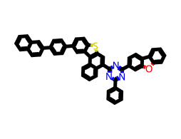 c1ccc(-c2nc(-c3ccc4c(c3)oc3ccccc34)nc(-c3cc4sc5ccc(-c6ccc(-c7ccc8ccccc8c7)cc6)cc5c4c4ccccc34)n2)cc1